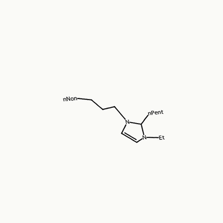 CCCCCCCCCCCCN1C=CN(CC)C1CCCCC